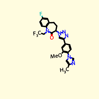 COc1cc(-c2cn(C3CCc4cc(F)ccc4N(CC(F)(F)F)C3=O)nn2)ccc1-n1cnc(C)c1